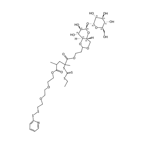 CCSC(=S)SC(C)(CC(C)C(=O)OCCOCCOCCSSc1ccccn1)C(=O)OCCC1OC[C@H]2O[C@H](O[C@H]3O[C@H](CO)[C@@H](O)[C@H](O)[C@H]3O)[C@H](O)[C@@H](O)[C@@H]2O1